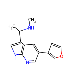 CNC(C)c1c[nH]c2ncc(-c3ccoc3)cc12